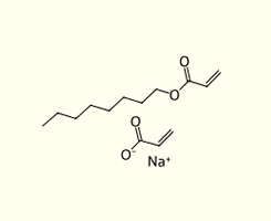 C=CC(=O)OCCCCCCCC.C=CC(=O)[O-].[Na+]